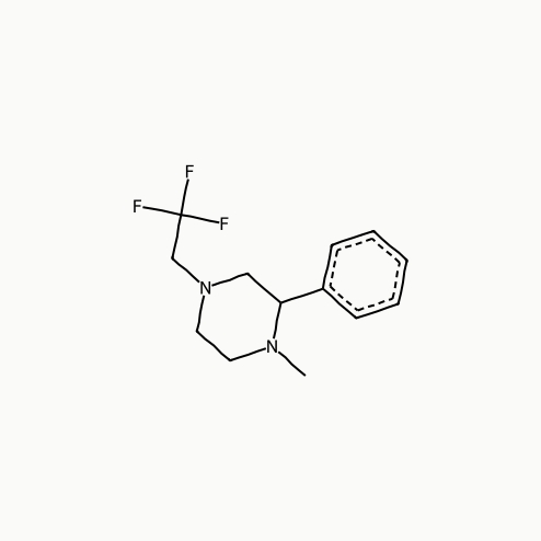 CN1CCN(CC(F)(F)F)CC1c1ccccc1